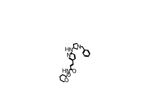 O=C(/C=C/c1ccc(N[C@H]2CCN(Cc3ccccc3)C2)nc1)NOC1CCCCO1